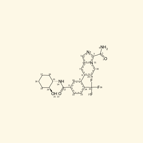 NC(=O)c1ncc2cc(-c3cc(C(=O)N[C@H]4CCCC[C@@H]4O)ccc3C(F)(F)F)ccn12